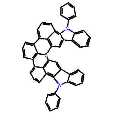 c1ccc(-n2c3ccccc3c3cc4c5c(cccc5c32)-c2cccc3c2B4c2cc4c5ccccc5n(-c5ccccc5)c4c4cccc-3c24)cc1